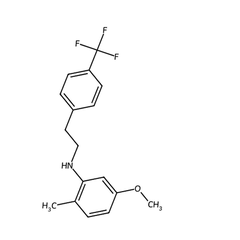 COc1ccc(C)c(NCCc2ccc(C(F)(F)F)cc2)c1